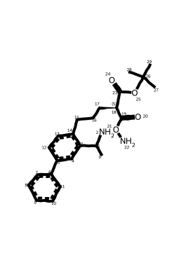 CC(N)c1cc(-c2ccccc2)ccc1CCC[C@H](C(=O)ON)C(=O)OC(C)(C)C